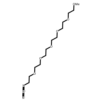 COCCOCCOCCOCCOCCOCCN=[N+]=[N-]